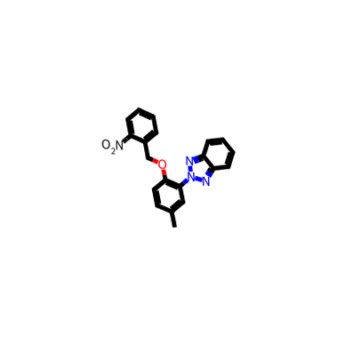 Cc1ccc(OCc2ccccc2[N+](=O)[O-])c(-n2nc3ccccc3n2)c1